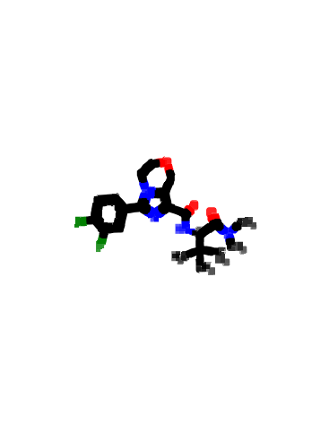 CN(C)C(=O)[C@@H](NC(=O)c1nc(-c2ccc(F)c(F)c2)n2c1COCC2)C(C)(C)C